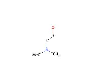 CON(C)CC[O]